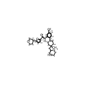 CC1(CC2CNCCO2)CCN(c2ccc(C(F)(F)F)cc2NC(=O)c2ccc(C3CCOCC3)o2)CC1